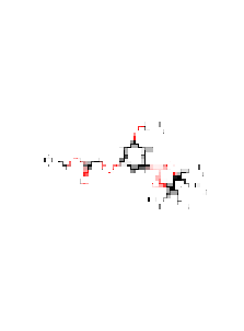 CCOC(=O)COc1cc(OC)cc(B2OC(C)(C)C(C)(C)O2)c1